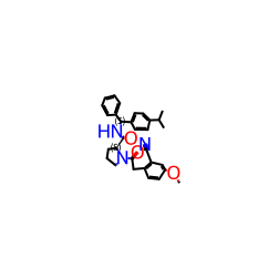 COc1ccc(CC(=O)N2CCC[C@H]2C(=O)N[C@@H](c2ccccc2)c2ccc(C(C)C)cc2)c(C#N)c1